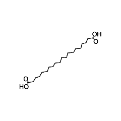 O=C(O)CCCCCCCCCCCCCCCCCCC(=O)O